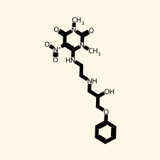 Cn1c(NCCNCC(O)COc2ccccc2)c([N+](=O)[O-])c(=O)n(C)c1=O